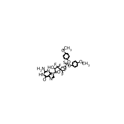 COc1ccc(OP(=S)(OC[C@@]2(C(F)F)O[C@@H](n3cnc4c(=O)[nH]c(N)nc43)C(O)C2(F)F)Oc2ccc(OC)cc2)cc1